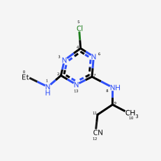 CCNc1nc(Cl)nc(NC(C)CC#N)n1